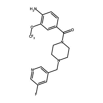 Nc1ccc(C(=O)N2CCN(Cc3cncc(F)c3)CC2)cc1OC(F)(F)F